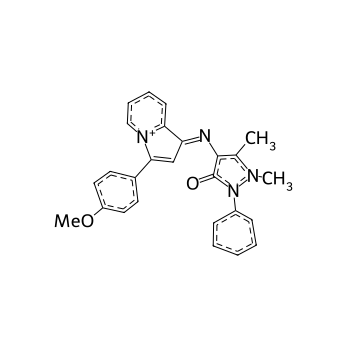 COc1ccc(C2=C/C(=N\c3c(C)n(C)n(-c4ccccc4)c3=O)c3cccc[n+]32)cc1